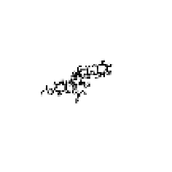 CCOc1ccc([C@@H](O)[C@H](OC(C)C)C(=O)N2C(=O)OC[C@@H]2Cc2ccccc2)cc1